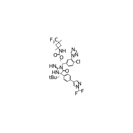 CC(C)(C)C[C@]1(c2ccc(-c3cnn(C(F)F)c3)cc2)NC(=N)N([C@H](COC(=O)NC2(C)CC(C)(C(F)(F)F)C2)c2ccc(Cl)c(-n3cncn3)c2)C1=O